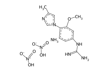 COc1cc(NC(=N)N)ccc1-n1cnc(C)c1.N.O=[N+]([O-])O.O=[N+]([O-])O